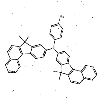 CCC(C)c1ccc(N(c2ccc3c(c2)C(C)(C)c2ccc4ccccc4c2-3)c2ccc3c(c2)C(C)(C)c2ccc4ccccc4c2-3)cc1